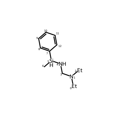 CCN(CC)CN[SiH](C)c1ccccc1